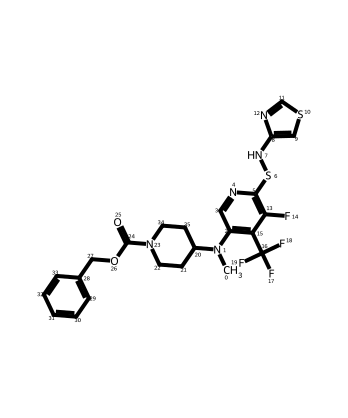 CN(c1cnc(SNc2cscn2)c(F)c1C(F)(F)F)C1CCN(C(=O)OCc2ccccc2)CC1